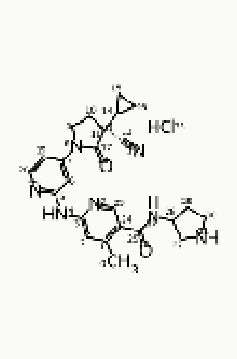 Cc1cc(Nc2cc(N3CC[C@@](C#N)(C4CC4)C3=O)ccn2)ncc1C(=O)NC1CCNC1.Cl